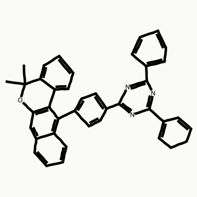 CC1(C)Oc2cc3ccccc3c(-c3ccc(-c4nc(C5=CCCC=C5)nc(-c5ccccc5)n4)cc3)c2-c2ccccc21